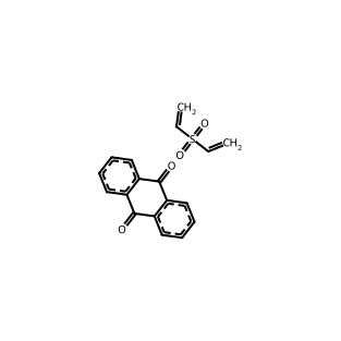 C=CS(=O)(=O)C=C.O=C1c2ccccc2C(=O)c2ccccc21